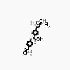 COC(=O)c1ccc(C[C@@H](C(=O)O)c2ccc(/C=C/C(C)(C)C)cc2)cc1